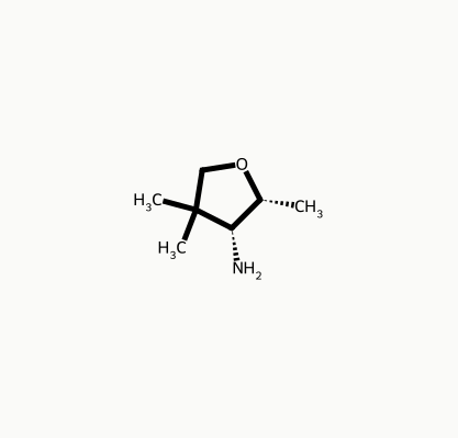 C[C@H]1OCC(C)(C)[C@H]1N